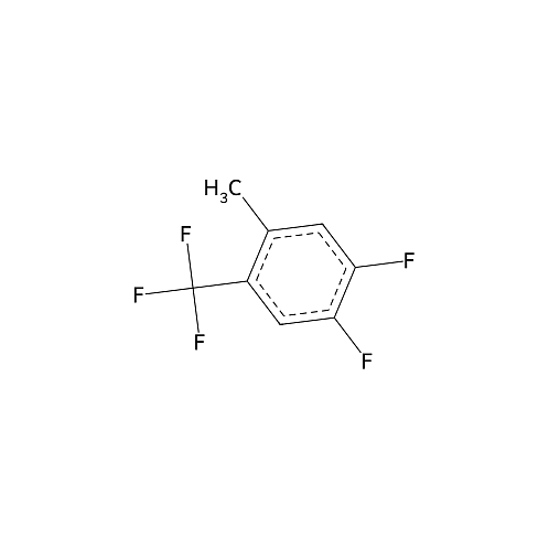 Cc1cc(F)c(F)cc1C(F)(F)F